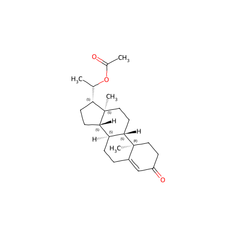 CC(=O)OC(C)[C@H]1CC[C@H]2[C@@H]3CCC4=CC(=O)CC[C@]4(C)[C@H]3CC[C@]12C